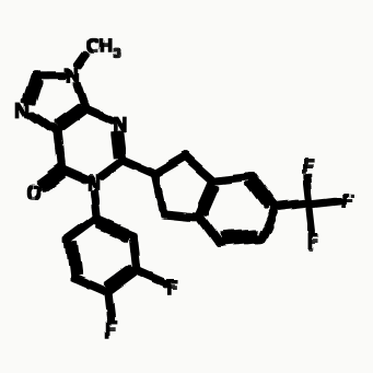 Cn1cnc2c(=O)n(-c3ccc(F)c(F)c3)c(C3Cc4ccc(C(F)(F)F)cc4C3)nc21